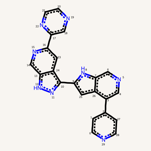 c1cc(-c2cncc3[nH]c(-c4n[nH]c5cnc(-c6cnccn6)cc45)cc23)ccn1